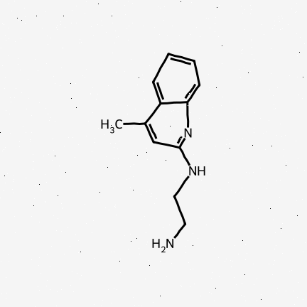 Cc1cc(NCCN)nc2ccccc12